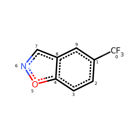 FC(F)(F)c1ccc2oncc2c1